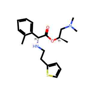 Cc1ccccc1[C@@H](NCCc1cccs1)C(=O)O[C@H](C)CN(C)C